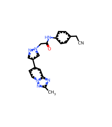 Cc1nc2cc(-c3cnn(CC(=O)Nc4ccc(CC#N)cc4)c3)ccn2n1